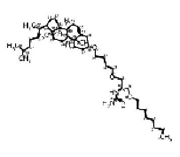 CCCCCCCCOC[C@H](COCCCCO[C@H]1CC[C@@]2(C)C(=CC[C@@H]3[C@@H]2CC[C@]2(C)C([C@H](C)CCCC(C)C)CC[C@@H]32)C1)NC(=N)N